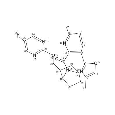 Cc1coc(-c2ccc(C)nc2C(=O)N2C3CCC2C(COc2ncc(F)cn2)C3)n1